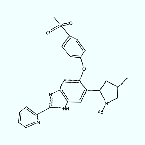 CC(=O)N1CC(C)CC1c1cc2[nH]c(-c3ccccn3)nc2cc1Oc1ccc(S(C)(=O)=O)cc1